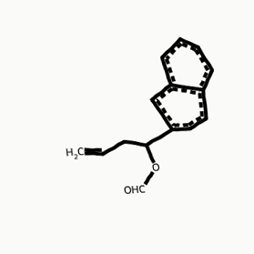 C=CCC(OC=O)c1ccc2ccccc2c1